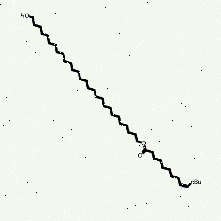 CCCC/C=C\CCCCCCCC(=O)OCCCCCCCCCCCCCCCCCCCCCCCCCCCCO